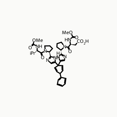 COC(=O)N[C@@H](CC(=O)O)C(=O)N1CCC[C@H]1c1ncc(C2(c3cnc([C@@H]4CCCN4C(=O)[C@@H](NC(=O)OC)C(C)C)[nH]3)C=CC(c3ccccc3)C=C2)[nH]1